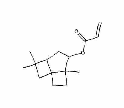 C=CC(=O)OC1CC2C(C)(C)CC23CCC13C